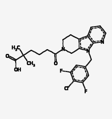 CC(C)(CCCC(=O)N1CCc2c(n(Cc3cc(F)c(Cl)c(F)c3)c3ncccc23)C1)C(=O)O